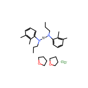 C1CCOC1.C1CCOC1.CCC[N]([Ti+2][N](CCC)c1cccc(C)c1C)c1cccc(C)c1C.[Cl-].[Cl-]